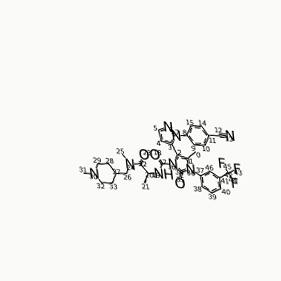 Cc1c(-c2ccnn2-c2ccc(C#N)cc2)n(C(=O)N[C@@H](C)C(=O)N(C)CC2CCN(C)CC2)c(=O)n1-c1cccc(C(F)(F)F)c1